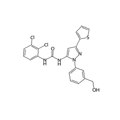 O=C(Nc1cccc(Cl)c1Cl)Nc1cc(-c2cccs2)nn1-c1cccc(CO)c1